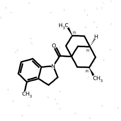 Cc1cccc2c1CCN2C(=O)C12C[C@H](C)C[C@H](C[C@H](C)C1)C2